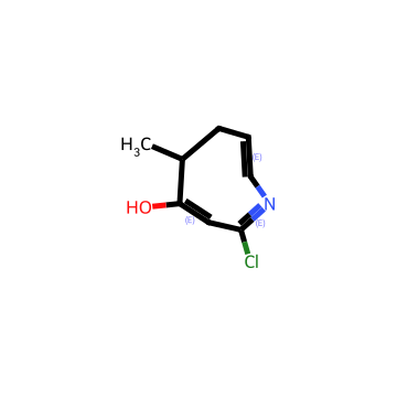 CC1C/C=C/N=C(Cl)\C=C/1O